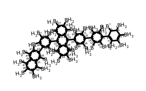 BC1=C(B)C(B)C(B)C(c2c(B)c(B)c(-c3c(B)c(B)c(-c4c5c(B)c(B)c(B)c(B)c5c(-c5c(B)c(B)c6c(c5B)-c5c(c(B)c7c(B)c(B)c(B)c(B)c7c5B)B6)c5c(B)c(B)c(B)c(B)c45)c(B)c3B)c(B)c2B)=C1B